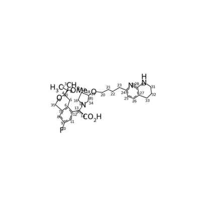 COC(C)(C)[C@H]1Cc2c(cc(F)cc2[C@H](C(=O)O)N2CC[C@@H](OCCCCc3ccc4c(n3)NCCC4)C2)CO1